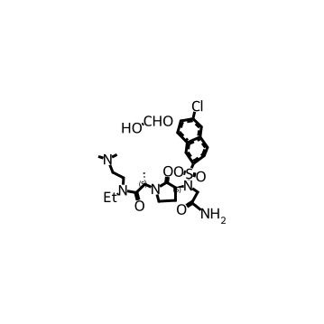 CCN(CCN(C)C)C(=O)[C@H](C)N1CC[C@H](N(CC(N)=O)S(=O)(=O)c2ccc3cc(Cl)ccc3c2)C1=O.O=CO